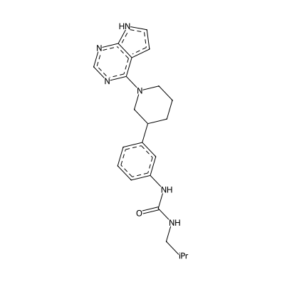 CC(C)CNC(=O)Nc1cccc(C2CCCN(c3ncnc4[nH]ccc34)C2)c1